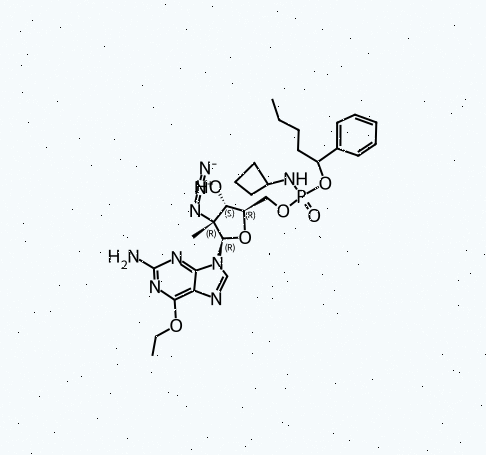 CCCCC(OP(=O)(NC1CCC1)OC[C@H]1O[C@@H](n2cnc3c(OCC)nc(N)nc32)[C@](C)(N=[N+]=[N-])[C@@H]1O)c1ccccc1